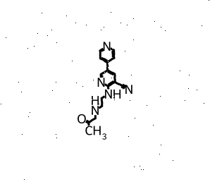 CC(=O)CNCCNc1ncc(-c2ccncc2)cc1C#N